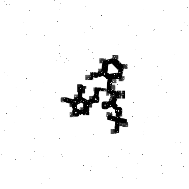 Cc1onc(OC[C@@H](NC(=O)OC(C)(C)C)c2ccccc2F)c1Br